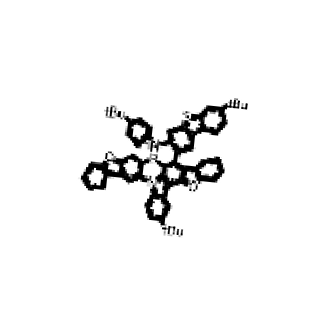 CC(C)(C)c1ccc(Nc2cc3sc4cc(C(C)(C)C)ccc4c3cc2-c2c3c4c(c5cc(C(C)(C)C)ccc5n4-c4cc5c(cc4B3)oc3ccccc35)c3oc4ccccc4c23)cc1